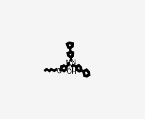 CCCCCCOc1ccc(-c2nc(-c3ccc(-c4ccccc4)cc3)nc(-c3ccc(-c4ccccc4)cc3)n2)c(O)c1